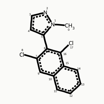 Cn1nccc1-c1c(Cl)cc2ccccc2c1Cl